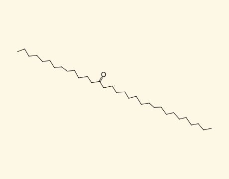 CCCCCCCCCCCCCCCC[CH]CC(=O)CCCCCCCCCCCCC